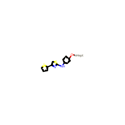 CCCCCCCOc1ccc(Nc2nc(-c3cccs3)cs2)cc1